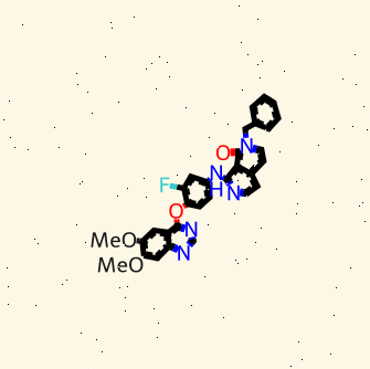 COc1cc2ncnc(Oc3ccc(Nc4nccc5ccn(Cc6ccccc6)c(=O)c45)cc3F)c2cc1OC